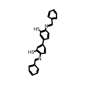 Sc1cc(-c2ccc(N=Cc3ccccc3)c(S)c2)ccc1N=Cc1ccccc1